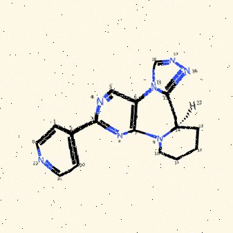 c1cc(-c2ncc3c(n2)N2CCCC[C@@H]2c2nncn2-3)ccn1